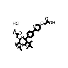 COC(=O)C[C@@H]1N=C(c2ccc(-c3ccc(OCC(=O)O)cn3)cc2)c2c(sc(C)c2C)-n2c(C)nnc21.Cl